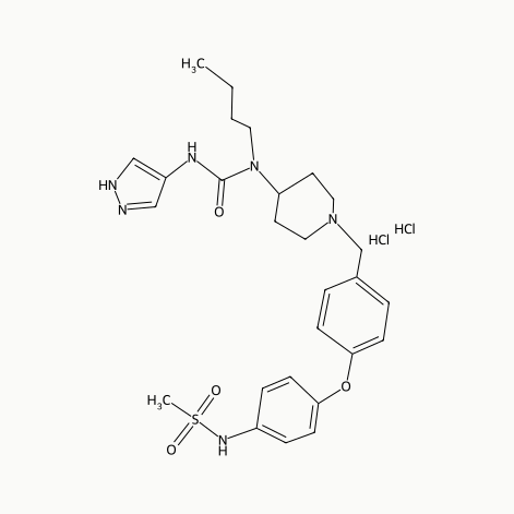 CCCCN(C(=O)Nc1cn[nH]c1)C1CCN(Cc2ccc(Oc3ccc(NS(C)(=O)=O)cc3)cc2)CC1.Cl.Cl